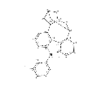 Cc1cccc(N(C)c2cccc3c2-c2ccccc2C2CC4CC(C2)C3C4)c1